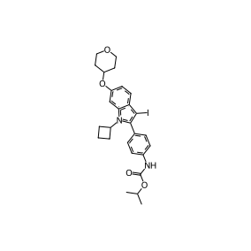 CC(C)OC(=O)Nc1ccc(-c2c(I)c3ccc(OC4CCOCC4)cc3n2C2CCC2)cc1